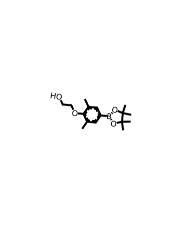 Cc1cc(B2OC(C)(C)C(C)(C)O2)cc(C)c1OCCO